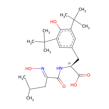 CC(C)CC(=NO)C(=O)N[C@@H](Cc1cc(C(C)(C)C)c(O)c(C(C)(C)C)c1)C(=O)O